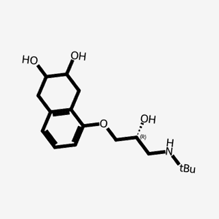 CC(C)(C)NC[C@@H](O)COc1cccc2c1CC(O)C(O)C2